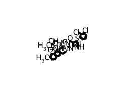 Cc1ccc2c(c1)[C@@H](N[S+]([O-])C(C)(C)C)C1(CCN(c3nc4[nH]nc(Sc5cccc(Cl)c5Cl)c4c(=O)n3C)CC1)C2